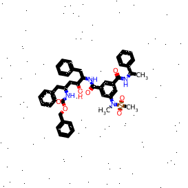 CC(NC(=O)c1cc(C(=O)NC(Cc2ccccc2)C(O)CC(Cc2ccccc2)NC(=O)OCc2ccccc2)cc(N(C)S(C)(=O)=O)c1)c1ccccc1